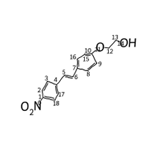 O=[N+]([O-])c1ccc(C=Cc2ccc(OCCO)cc2)cc1